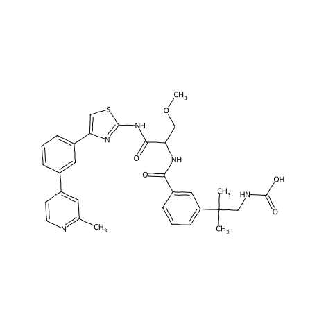 COCC(NC(=O)c1cccc(C(C)(C)CNC(=O)O)c1)C(=O)Nc1nc(-c2cccc(-c3ccnc(C)c3)c2)cs1